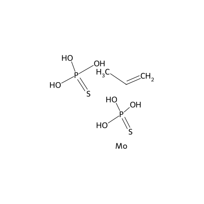 C=CC.OP(O)(O)=S.OP(O)(O)=S.[Mo]